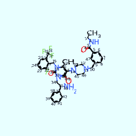 CCNC(=O)c1cccc(CN2CCN(c3c(C)n(Cc4c(F)cccc4C(F)(F)F)c(=O)n(C[C@H](N)c4ccccc4)c3=O)CC2)c1